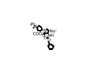 CC(C)N(C)[C@@H]1CC[C@H](N2CC[C@H](NC(=O)OCc3ccccc3)C2=O)[C@H](C(=O)[O-])C1.[Na+]